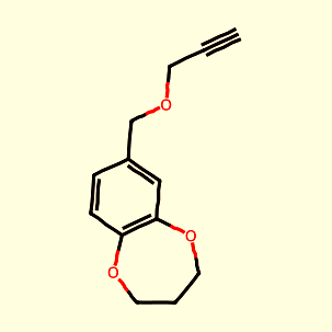 C#CCOCc1ccc2c(c1)OCCCO2